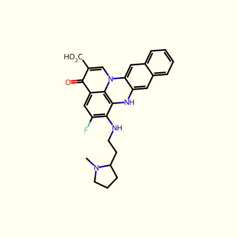 CN1CCCC1CCNc1c(F)cc2c(=O)c(C(=O)O)cn3c2c1Nc1cc2ccccc2cc1-3